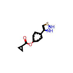 O=C(Oc1ccc(C2=CSNN2)cc1)C1CC1